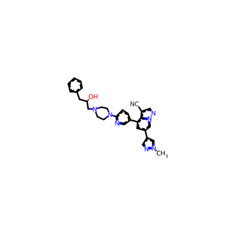 Cn1cc(-c2cc(-c3ccc(N4CCN(C[C@H](O)Cc5ccccc5)CC4)nc3)c3c(C#N)cnn3c2)cn1